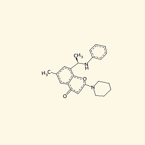 Cc1cc([C@@H](C)Nc2ccccc2)c2oc(N3CCCCC3)cc(=O)c2c1